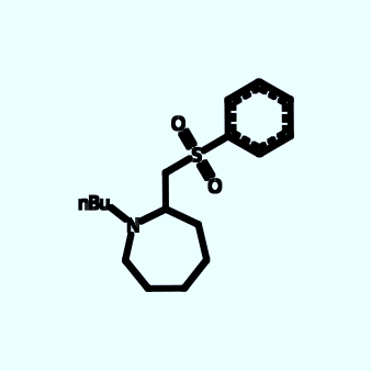 CCCCN1CCCCCC1CS(=O)(=O)c1ccccc1